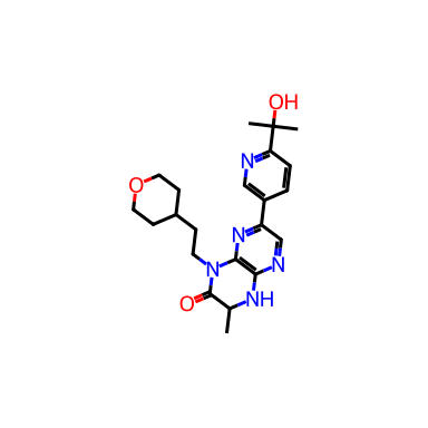 CC1Nc2ncc(-c3ccc(C(C)(C)O)nc3)nc2N(CCC2CCOCC2)C1=O